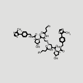 Cc1ncsc1-c1ccc(CNC(=O)[C@H]2C[C@H](O)CN2C(=O)C(CSSC[C@H](NC(=O)CCC(C)C)C(=O)N2C[C@H](O)C[C@H]2C(=O)NCc2ccc(-c3scnc3C)cc2)NC(=O)CCC(C)C)cc1